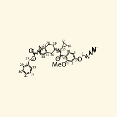 COc1cc(OCN=[N+]=[N-])ccc1C(=O)N(C1CC1)C1CCc2nn(C(=O)OCc3ccccc3)cc2C1